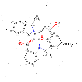 Cc1cc(C(C)Nc2ccccc2C(=O)O)c2oc(N3Cc4ccccc4[C@@H]3C)cc(=O)c2c1